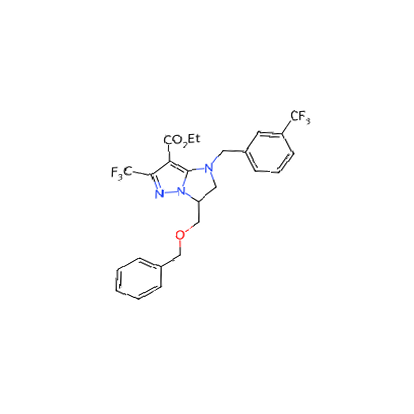 CCOC(=O)c1c(C(F)(F)F)nn2c1N(Cc1cccc(C(F)(F)F)c1)CC2COCc1ccccc1